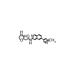 Cn1cc(-c2ccc3cnc(NC(O)CC4CNCCO4)cc3c2)cn1